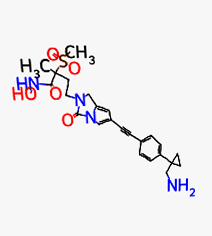 CC(CCN1Cc2cc(C#Cc3ccc(C4(CN)CC4)cc3)cn2C1=O)(C(=O)NO)S(C)(=O)=O